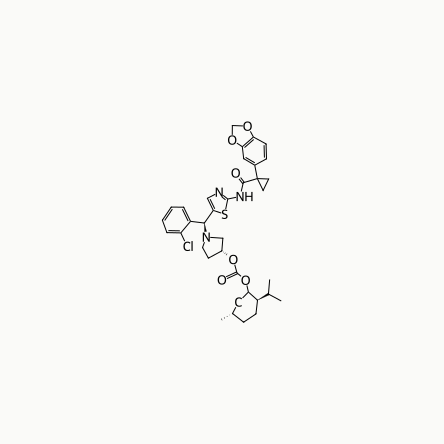 CC(C)[C@H]1CC[C@H](C)CC1OC(=O)O[C@@H]1CCN([C@H](c2cnc(NC(=O)C3(c4ccc5c(c4)OCO5)CC3)s2)c2ccccc2Cl)C1